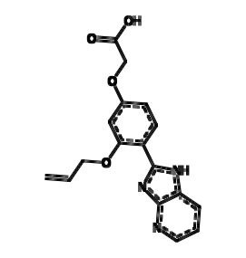 C=CCOc1cc(OCC(=O)O)ccc1-c1nc2ncccc2[nH]1